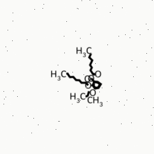 CCCCCCCC(=O)Oc1cccc(OCC(C)C)c1OC(=O)CCCCCCC